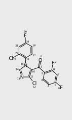 O=C(c1ccc(F)cc1F)c1c(Cl)ncn1-c1ccc(F)cc1Cl